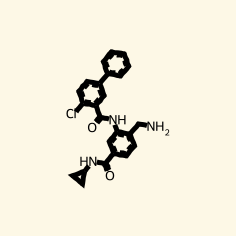 NCc1ccc(C(=O)NC2CC2)cc1NC(=O)c1cc(-c2ccccc2)ccc1Cl